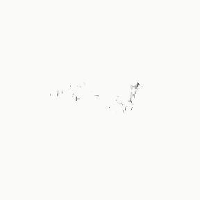 CC(=O)N(c1cccc(COCCOCCCCCCNC[C@@H](O)c2ccc(O)c(CO)c2)c1)c1cccc(NCc2cn3c(n2)SCC3)c1